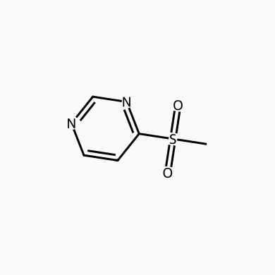 CS(=O)(=O)c1ccncn1